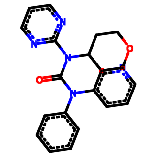 O=C(N(c1ccccc1)c1cccnc1)N(c1ncccn1)C1CCOCC1